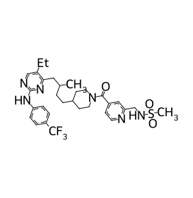 CCc1cnc(Nc2ccc(C(F)(F)F)cc2)nc1CC(C)CCC1CCN(C(=O)c2ccnc(CNS(C)(=O)=O)c2)CC1